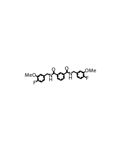 COc1cc(CNC(=O)c2cccc(C(=O)NCc3ccc(F)c(OC)c3)c2)ccc1F